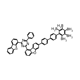 Bc1c(B)c(B)c(-c2ccc(-c3ccc(-c4ccc5c(c4)oc4cccc(-c6nc(-c7ccccc7)nc(-c7cccc8c7sc7ccccc78)n6)c45)cc3)cc2)c(B)c1B